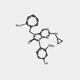 COc1ccccc1Cn1c(=O)n(-c2ccc(O)cc2OC)c2nc(NC3CC3)ncc21